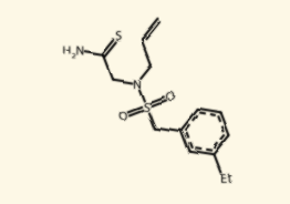 C=CCN(CC(N)=S)S(=O)(=O)Cc1cccc(CC)c1